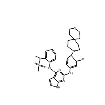 CN(c1ccccc1Nc1nc(NC2=CC(F)C(N3CCC4(CCOCC4)CC3)C=C2)nc2[nH]ccc12)S(C)(=O)=O